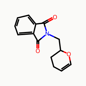 O=C1c2ccccc2C(=O)N1CC1CCC=CO1